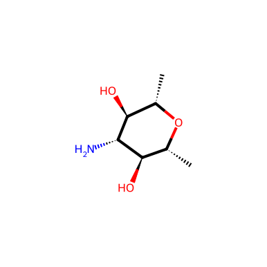 C[C@@H]1O[C@H](C)[C@@H](O)[C@H](N)[C@H]1O